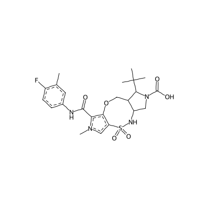 Cc1cc(NC(=O)c2c3c(cn2C)S(=O)(=O)NC2CN(C(=O)O)C(C(C)(C)C)C2CO3)ccc1F